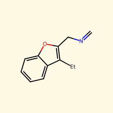 C=NCc1oc2ccccc2c1CC